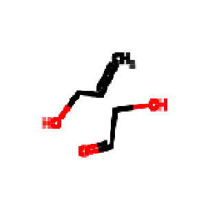 C=CCO.O=CCO